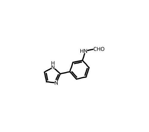 O=CNc1cccc(-c2ncc[nH]2)c1